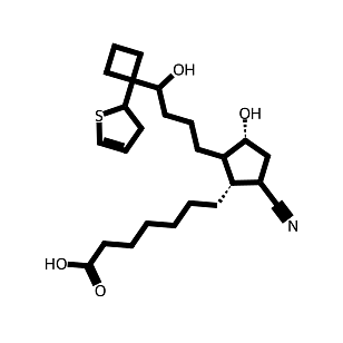 N#CC1C[C@@H](O)C(CCCC(O)C2(C3CC=CS3)CCC2)[C@H]1CCCCCCC(=O)O